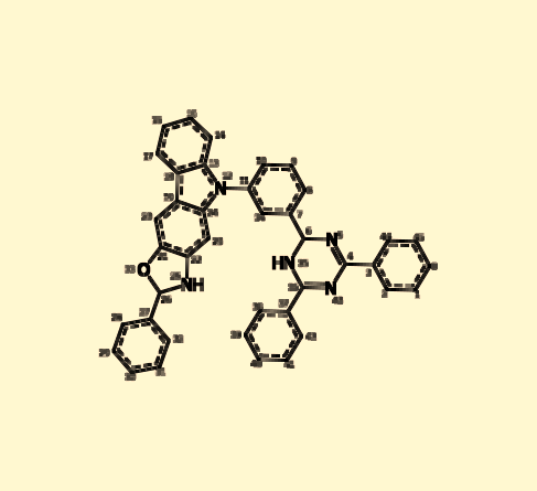 c1ccc(C2=NC(c3cccc(-n4c5ccccc5c5cc6c(cc54)NC(c4ccccc4)O6)c3)NC(c3ccccc3)=N2)cc1